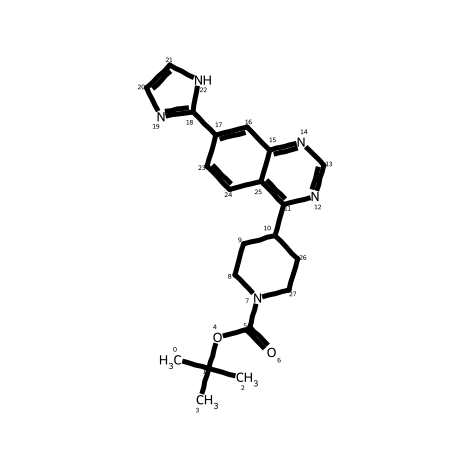 CC(C)(C)OC(=O)N1CCC(c2ncnc3cc(-c4ncc[nH]4)ccc23)CC1